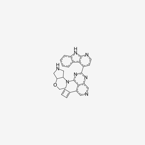 C1=CC(c2cncc3nc(-c4ccnc5[nH]c6ccccc6c45)nc(N4CCOC5CNCC54)c23)=C1